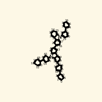 c1ccc(-c2ccc(-c3ccc4c5cc(-c6ccc7c(c6)c6ccccc6n7-c6cccc(-c7ccccc7)c6)ccc5n(-c5ccc(-c6ccccc6)cc5)c4c3)cc2)cc1